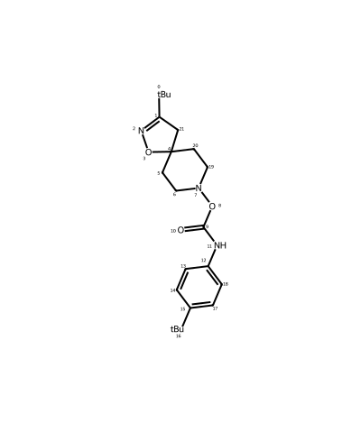 CC(C)(C)C1=NOC2(CCN(OC(=O)Nc3ccc(C(C)(C)C)cc3)CC2)C1